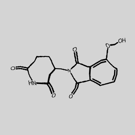 O=C1CCC(N2C(=O)c3cccc(OO)c3C2=O)C(=O)N1